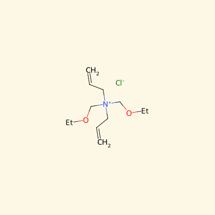 C=CC[N+](CC=C)(COCC)COCC.[Cl-]